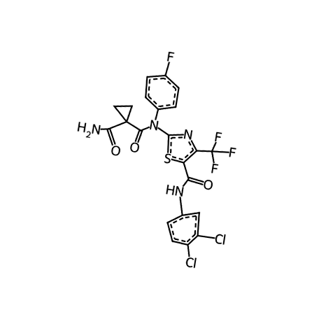 NC(=O)C1(C(=O)N(c2ccc(F)cc2)c2nc(C(F)(F)F)c(C(=O)Nc3ccc(Cl)c(Cl)c3)s2)CC1